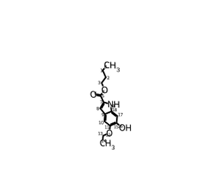 CCCCOC(=O)c1cc2cc(OCC)c(O)cc2[nH]1